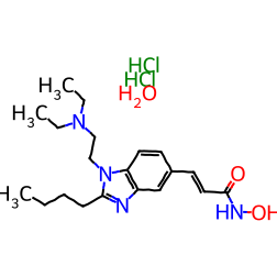 CCCCc1nc2cc(C=CC(=O)NO)ccc2n1CCN(CC)CC.Cl.Cl.O